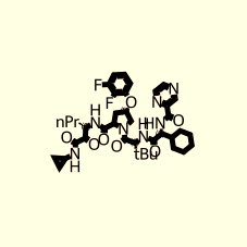 CCC[C@H](NC(=O)C1C[C@@H](Oc2cccc(F)c2F)CN1C(=O)[C@@H](NC(=O)[C@@H](NC(=O)c1cnccn1)C1CCCCC1)C(C)(C)C)C(=O)C(=O)NC1CC1